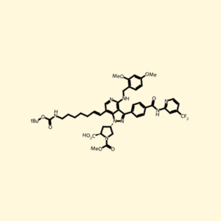 COC(=O)N1C[C@@H](n2nc(-c3ccc(C(=O)Nc4cc(C(F)(F)F)ccn4)cc3)c3c(NCc4ccc(OC)cc4OC)ncc(/C=C/CCCCCNC(=O)OC(C)(C)C)c32)C[C@@H]1C(=O)O